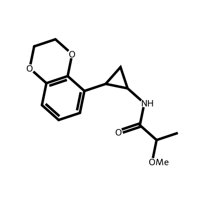 COC(C)C(=O)NC1CC1c1cccc2c1OCCO2